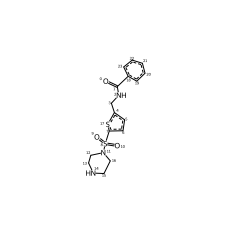 O=C(NCc1ccc(S(=O)(=O)N2CCNCC2)s1)c1ccccc1